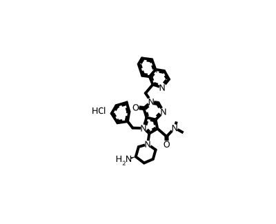 CN(C)C(=O)c1c(N2CCC[C@H](N)C2)n(Cc2ccccc2)c2c(=O)n(Cc3nccc4ccccc34)cnc12.Cl